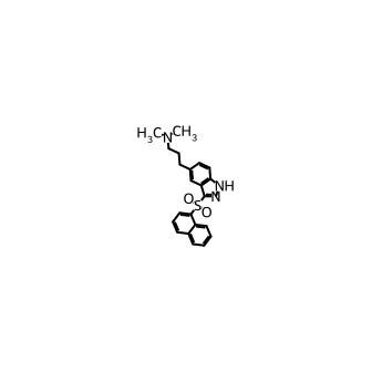 CN(C)CCCc1ccc2[nH]nc(S(=O)(=O)c3cccc4ccccc34)c2c1